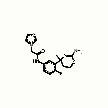 CC1(c2cc(NC(=O)Cn3ccnc3)ccc2F)CCSC(N)=N1